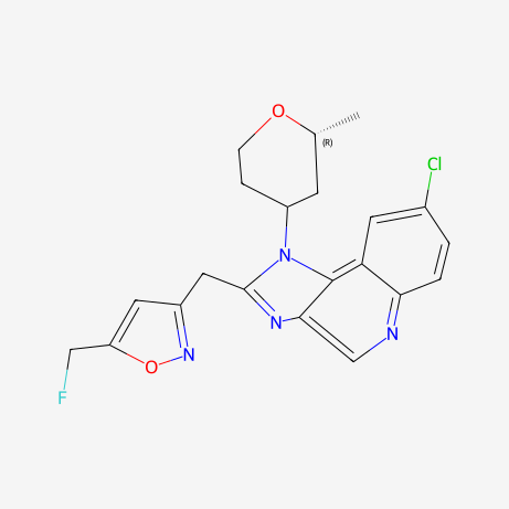 C[C@@H]1CC(n2c(Cc3cc(CF)on3)nc3cnc4ccc(Cl)cc4c32)CCO1